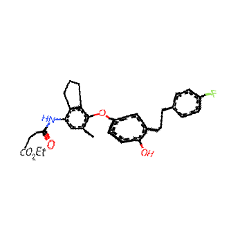 CCOC(=O)CC(=O)Nc1cc(C)c(Oc2ccc(O)c(CCc3ccc(F)cc3)c2)c2c1CCC2